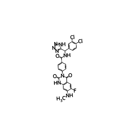 CNc1cc2[nH]c(=O)n(-c3ccc(C(=O)NC(c4ccc(Cl)c(Cl)c4)c4nnn[nH]4)cc3)c(=O)c2cc1F